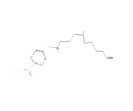 C=CCCCCC(C)CCCC(=O)Oc1ccc([N+](=O)[O-])cc1